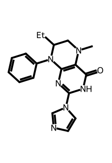 CCC1CN(C)c2c(nc(-n3ccnc3)[nH]c2=O)N1c1ccccc1